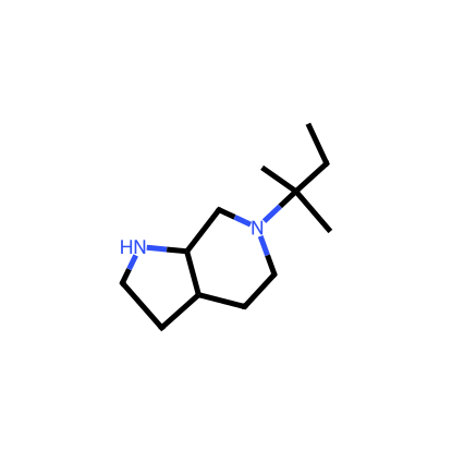 CCC(C)(C)N1CCC2CCNC2C1